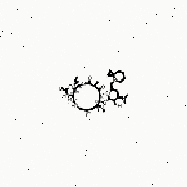 CC[C@H]1OC(=O)C(C)C(=O)[C@H](C)[C@@H](OC2OC(CN3CCCCC34CC4)CC(N(C)C)C2O)[C@](C)(OC)C[C@@H](C)CN[C@H](C)[C@H]2NC(=O)O[C@@]21CC